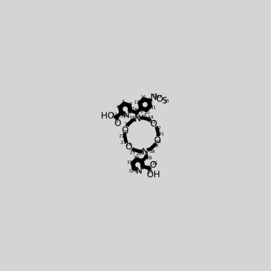 O=C(O)c1cccc(C(c2ccc(N=C=S)cc2)N2CCOCCOCCN(Cc3cccnc3C(=O)O)CCOCCOCC2)n1